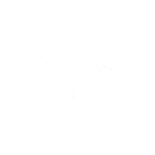 CC(C)(C)Oc1ccc2c(c1)OCC(OC1=CC(C)(C)N(O)C(C)(C)C1)(c1ccc(OC3=CC(C)(C)N(O)C(C)(C)C3)cc1)C2=O